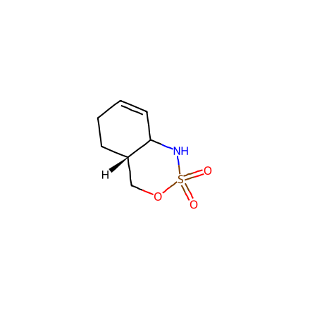 O=S1(=O)NC2C=CCC[C@H]2CO1